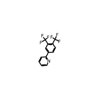 FC(F)(F)c1ccc(-c2ccc[c]n2)cc1C(F)(F)F